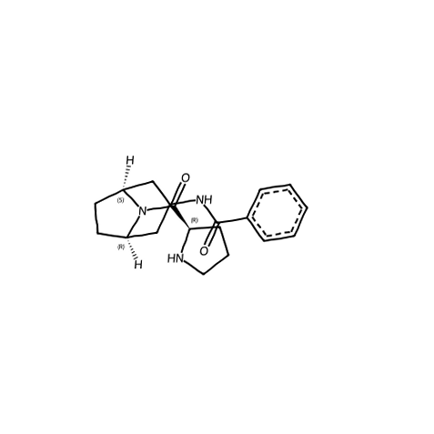 O=C(NC1C[C@H]2CC[C@@H](C1)N2C(=O)[C@H]1CCCN1)c1ccccc1